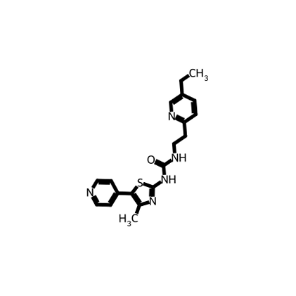 CCc1ccc(CCNC(=O)Nc2nc(C)c(-c3ccncc3)s2)nc1